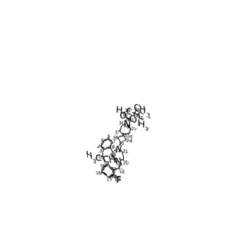 CC(C)c1ccccc1C1CN(Cc2ccccc2F)CCN1C1CC2(CCN(C(=O)OC(C)(C)C)CC2)C1